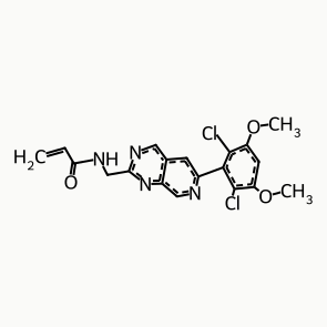 C=CC(=O)NCc1ncc2cc(-c3c(Cl)c(OC)cc(OC)c3Cl)ncc2n1